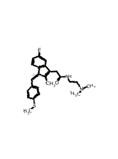 CSc1ccc(/C=C2\C(C)=C(CC(=O)NCCN(C)C)c3cc(F)ccc32)cc1